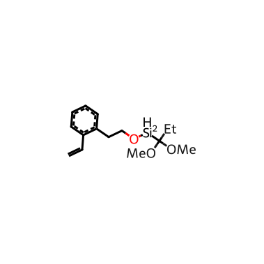 C=Cc1ccccc1CCO[SiH2]C(CC)(OC)OC